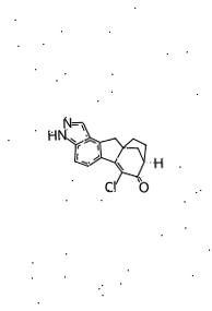 O=C1C(Cl)=C2c3ccc4[nH]ncc4c3CC23CC[C@@H]1C3